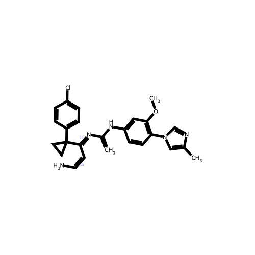 C=C(/N=C(\C=C/N)C1(c2ccc(Cl)cc2)CC1)Nc1ccc(-n2cnc(C)c2)c(OC)c1